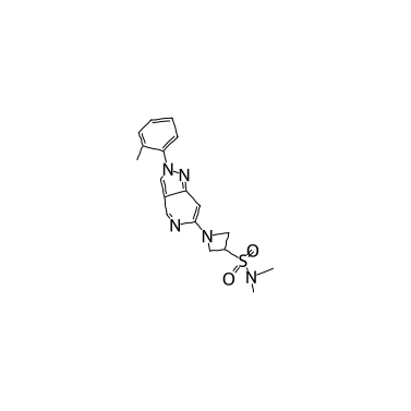 Cc1ccccc1-n1cc2cnc(N3CC(S(=O)(=O)N(C)C)C3)cc2n1